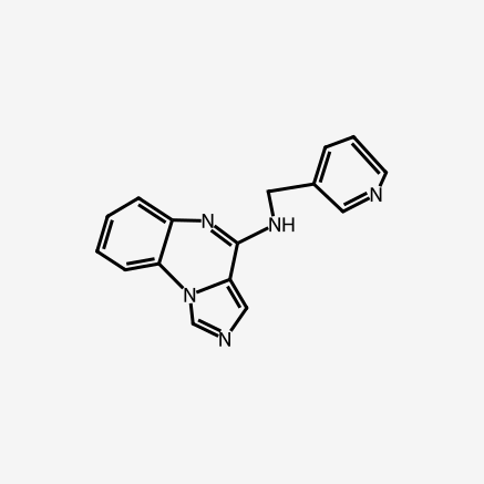 c1cncc(CNc2nc3ccccc3n3cncc23)c1